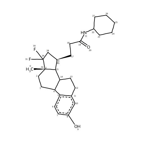 C[C@]12CCC3c4ccc(O)cc4CCC3C1[C@H](CCC(=O)NC1CCCCC1)CC2(F)F